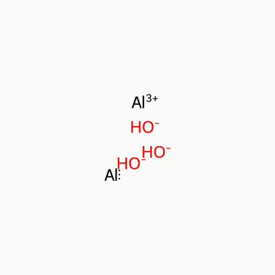 [Al+3].[Al].[OH-].[OH-].[OH-]